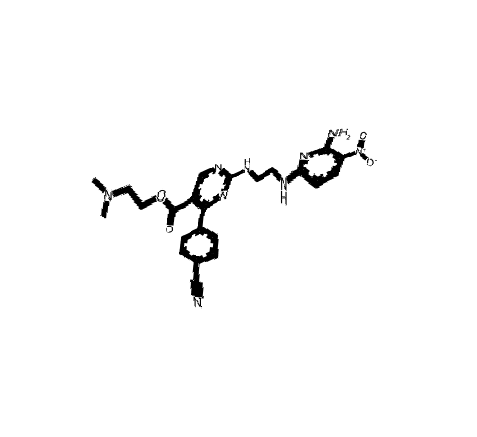 CN(C)CCOC(=O)c1cnc(NCCNc2ccc([N+](=O)[O-])c(N)n2)nc1-c1ccc(C#N)cc1